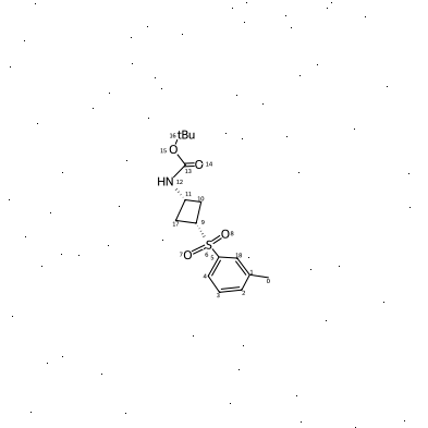 Cc1cccc(S(=O)(=O)[C@H]2C[C@@H](NC(=O)OC(C)(C)C)C2)c1